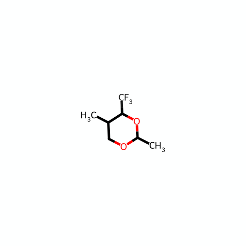 CC1OCC(C)C(C(F)(F)F)O1